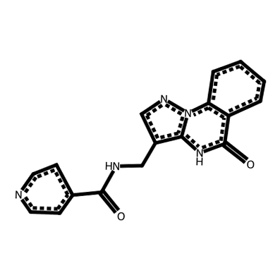 O=C(NCc1cnn2c1[nH]c(=O)c1ccccc12)c1ccncc1